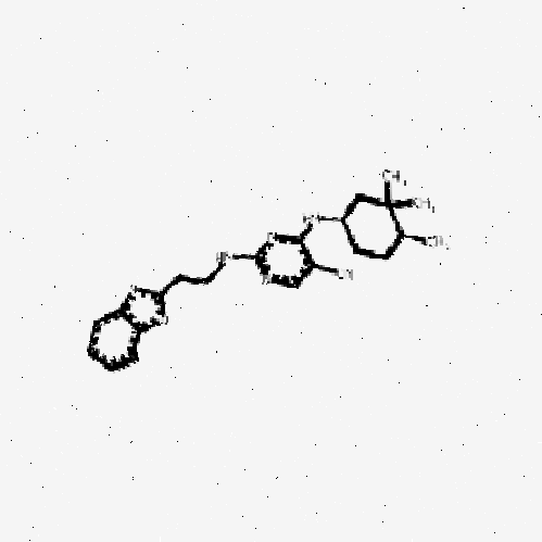 C[C@H]1CC[C@@H](Nc2nc(NCCc3nc4ccccc4o3)ncc2C#N)CC1(C)C